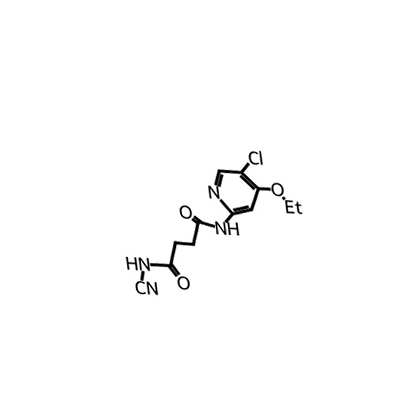 CCOc1cc(NC(=O)CCC(=O)NC#N)ncc1Cl